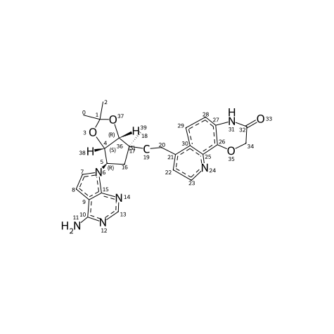 CC1(C)O[C@H]2[C@H](n3ccc4c(N)ncnc43)C[C@](C)(CCc3ccnc4c5c(ccc34)NC(=O)CO5)[C@H]2O1